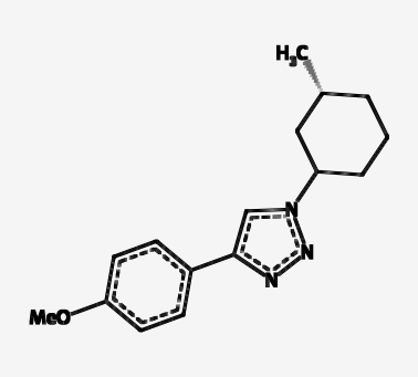 COc1ccc(-c2cn(C3CCC[C@@H](C)C3)nn2)cc1